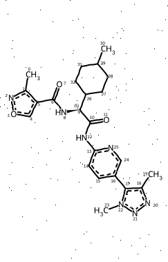 Cc1nocc1C(=O)N[C@H](C(=O)Nc1ccc(-c2c(C)nnn2C)cn1)C1CCC(C)CC1